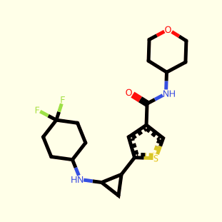 O=C(NC1CCOCC1)c1csc(C2CC2NC2CCC(F)(F)CC2)c1